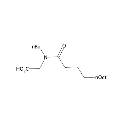 CCCCCCCCCCCC(=O)N(CCCC)CC(=O)O